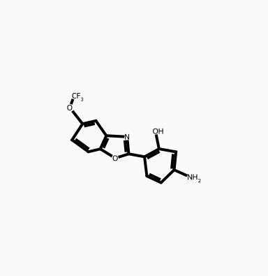 Nc1ccc(-c2nc3cc(OC(F)(F)F)ccc3o2)c(O)c1